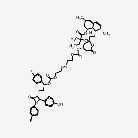 CCC(C)(C)C(=O)O[C@H]1C[C@@H](C)C=C2C=C[C@H](C)[C@H](CC[C@@H]3C[C@@H](OC(=O)OCCSSCCOC(=O)O[C@@H](CC[C@H]4C(=O)N(c5ccc(F)cc5)C4c4ccc(O)cc4)c4ccc(F)cc4)CC(=O)O3)[C@H]21